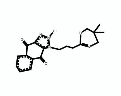 CC1(C)CN=C(CCCn2c3c(n[n+]2[O-])C(=O)c2ccccc2C3=O)OC1